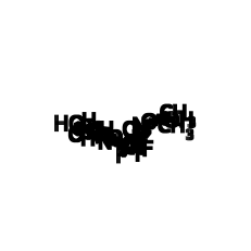 Cc1nc(OCCC(C)(C)O)ccc1-c1cc(COc2cc3c(cn2)[C@H]2[C@@H](C3)[C@@H]2C(=O)O)c(F)cc1C(F)(F)F